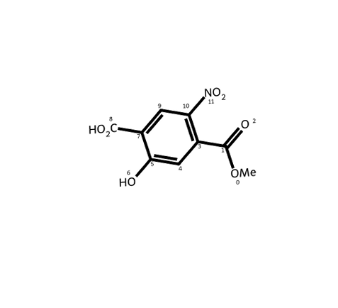 COC(=O)c1cc(O)c(C(=O)O)cc1[N+](=O)[O-]